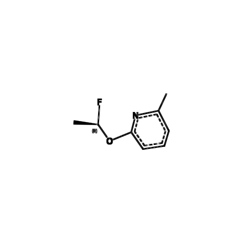 Cc1cccc(O[C@@H](C)F)n1